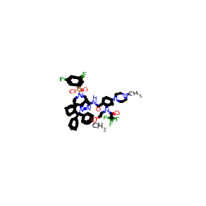 COCCN(C(=O)C(F)(F)F)c1cc(N2CCN(C)CC2)ccc1C(=O)Nc1nn(C(c2ccccc2)(c2ccccc2)c2ccccc2)c2c1CN(S(=O)(=O)c1cc(F)cc(F)c1)CC2